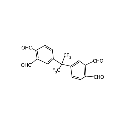 O=Cc1ccc(C(c2ccc(C=O)c(C=O)c2)(C(F)(F)F)C(F)(F)F)cc1C=O